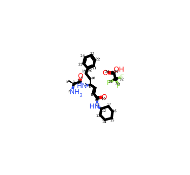 C[C@H](N)C(=O)N[C@H](/C=C/C(=O)NC1CCCCC1)CCc1ccccc1.O=C(O)C(F)(F)F